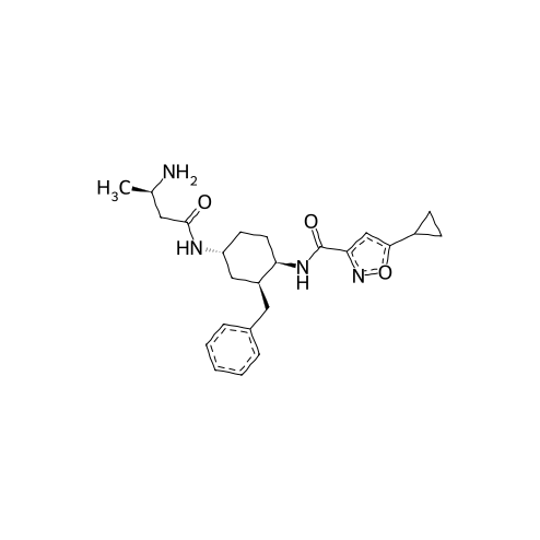 C[C@@H](N)CC(=O)N[C@@H]1CC[C@@H](NC(=O)c2cc(C3CC3)on2)[C@@H](Cc2ccccc2)C1